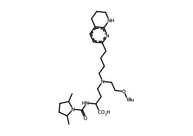 CC1CCC(C)N1C(=O)NC(CCN(CCCCc1ccc2c(n1)NCCC2)CCOC(C)(C)C)C(=O)O